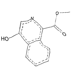 COC(=O)c1ncc(O)c2ccccc12